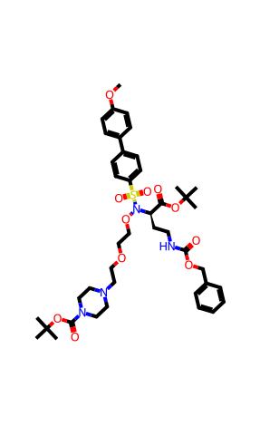 COc1ccc(-c2ccc(S(=O)(=O)N(OCCOCCN3CCN(C(=O)OC(C)(C)C)CC3)[C@H](CCNC(=O)OCc3ccccc3)C(=O)OC(C)(C)C)cc2)cc1